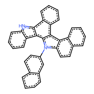 c1ccc2cc(-n3c4ccc5ccccc5c4c4c5ccccc5c5[nH]c6ccccc6c5c43)ccc2c1